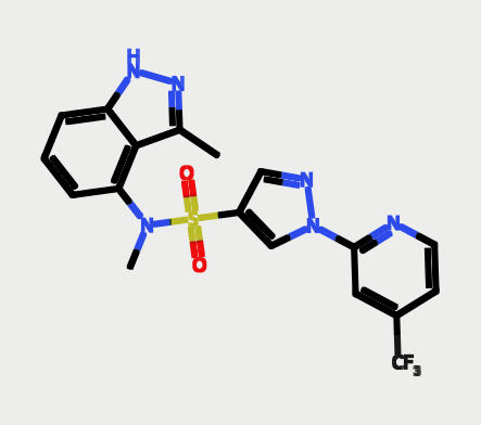 Cc1n[nH]c2cccc(N(C)S(=O)(=O)c3cnn(-c4cc(C(F)(F)F)ccn4)c3)c12